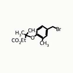 CCOC(=O)C(C)(C)Oc1ccc(CBr)cc1C